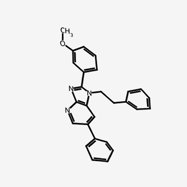 COc1cccc(-c2nc3ncc(-c4ccccc4)cc3n2CCc2ccccc2)c1